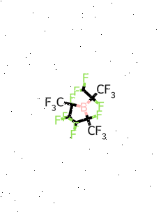 FC(F)C(F)(B(C(F)(C(F)F)C(F)(F)F)C(F)(C(F)F)C(F)(F)F)C(F)(F)F